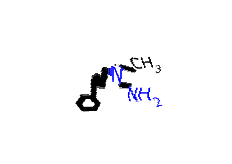 CC[CH]N(CC=Cc1ccccc1)CCN